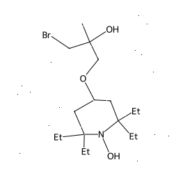 CCC1(CC)CC(OCC(C)(O)CBr)CC(CC)(CC)N1O